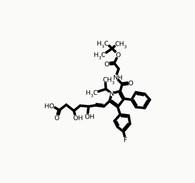 CC(C)n1c(C=CC(O)CC(O)CC(=O)O)c(-c2ccc(F)cc2)c(-c2ccccc2)c1C(=O)NCC(=O)OC(C)(C)C